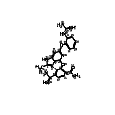 Cc1nc2c(Oc3cc(C(=N)N)ccc3C(N)=O)nc(Oc3ccccc3NC(=N)N)nc2[nH]1